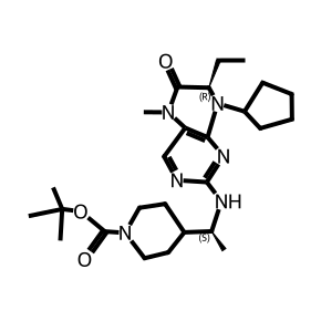 CC[C@@H]1C(=O)N(C)c2cnc(N[C@@H](C)C3CCN(C(=O)OC(C)(C)C)CC3)nc2N1C1CCCC1